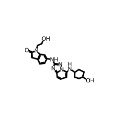 O=C1Cc2ccc(Nc3nc4cccc(NC5CCC(O)CC5)n4n3)cc2N1CCO